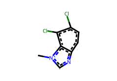 Cn1[c]nc2ccc(Cl)c(Cl)c21